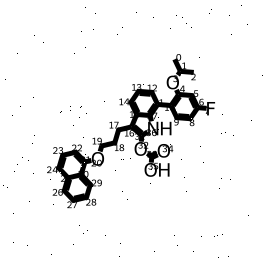 CC(C)Oc1cc(F)ccc1-c1cccc2c(CCCOc3cccc4ccccc34)c(OC(=O)O)[nH]c12